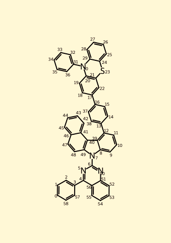 c1ccc(-c2nc(-n3c4cccc(-c5ccc(-c6ccc7c(c6)Sc6ccccc6N7c6ccccc6)cc5)c4c4c5ccccc5ccc43)nc3ccccc23)cc1